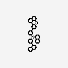 c1cc(-c2ccc3c(c2)-c2cccc4cccc(c24)O3)cc(N(c2cccc(-c3cccc4ccccc34)c2)c2cccc3ccccc23)c1